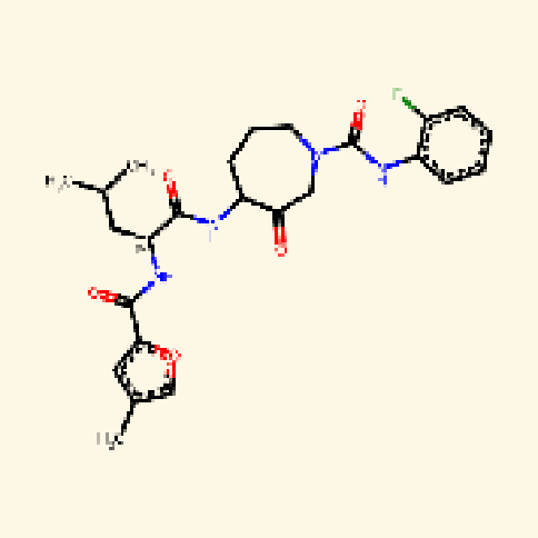 Cc1coc(C(=O)N[C@@H](CC(C)C)C(=O)NC2CCCN(C(=O)Nc3ccccc3F)CC2=O)c1